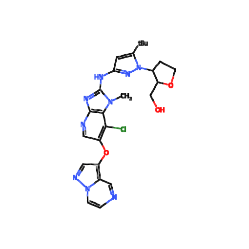 Cn1c(Nc2cc(C(C)(C)C)n(C3CCOC3CO)n2)nc2ncc(Oc3cnn4ccncc34)c(Cl)c21